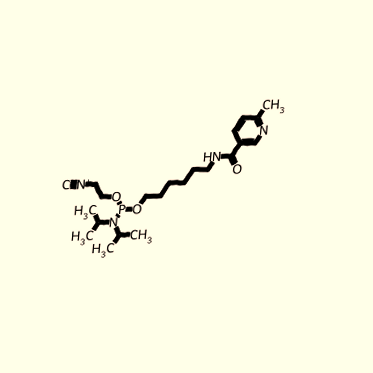 [C-]#[N+]CCOP(OCCCCCCNC(=O)c1ccc(C)nc1)N(C(C)C)C(C)C